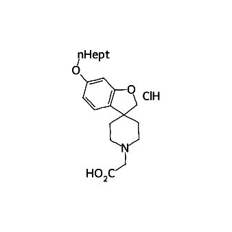 CCCCCCCOc1ccc2c(c1)OCC21CCN(CC(=O)O)CC1.Cl